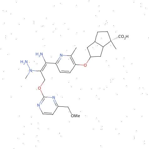 COCc1ccnc(OC/C(=C(/N)c2ccc(OC3CC4CC[C@](C)(C(=O)O)C4C3)c(C)n2)N(C)N)n1